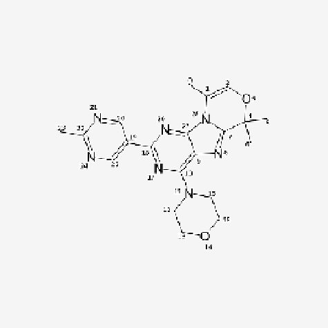 CC1=COC(C)(C)c2nc3c(N4CCOCC4)nc(-c4cnc(C)nc4)nc3n21